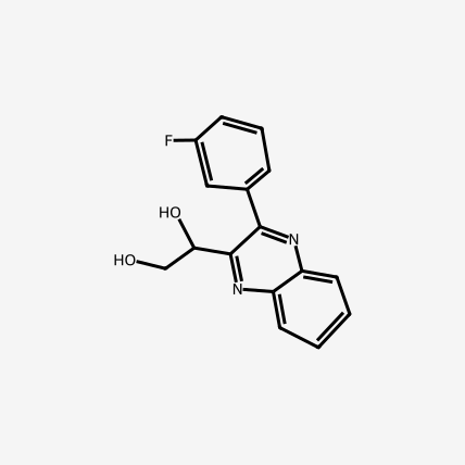 OCC(O)c1nc2ccccc2nc1-c1cccc(F)c1